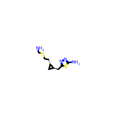 NCSCC[C@H]1C[C@@H]1Cc1nnc(N)s1